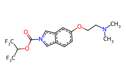 CN(C)CCOc1ccc2cn(C(=O)OC(C(F)(F)F)C(F)(F)F)cc2c1